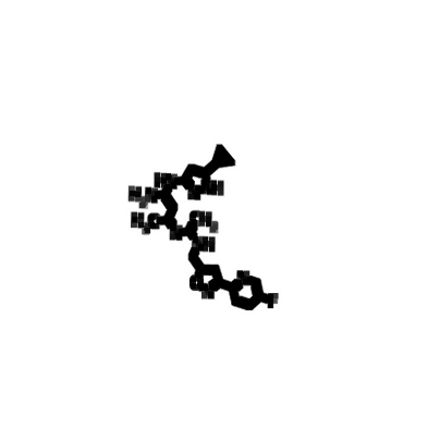 C=C(/N=C(C)\C=C(/N)Nc1cc(C2CC2)[nH]n1)NCc1cc(-c2ccc(F)cn2)no1